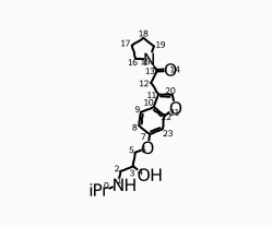 CC(C)NCC(O)COc1ccc2c(CC(=O)N3CCCC3)coc2c1